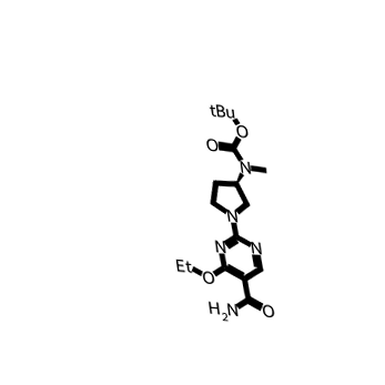 CCOc1nc(N2CC[C@@H](N(C)C(=O)OC(C)(C)C)C2)ncc1C(N)=O